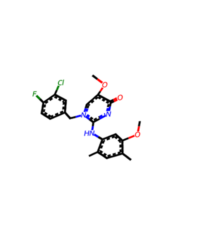 COc1cc(Nc2nc(=O)c(OC)cn2Cc2ccc(F)c(Cl)c2)c(C)cc1C